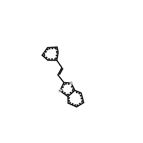 [C](=Cc1ccccc1)c1nc2ccccc2o1